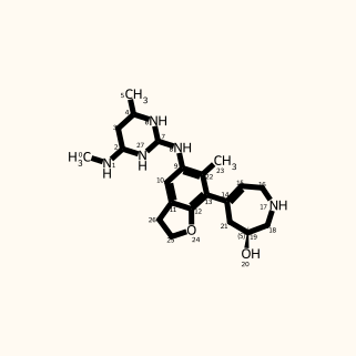 CNC1CC(C)NC(Nc2cc3c(c(C4=CCNC[C@@H](O)C4)c2C)OCC3)N1